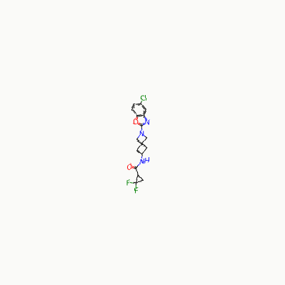 O=C(NC1CC2(C1)CN(c1nc3cc(Cl)ccc3o1)C2)C1CC1(F)F